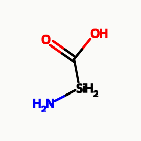 N[SiH2]C(=O)O